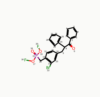 O=C(c1ccccc1)C(Cc1ccc(CP(=O)(OF)OF)c(Br)c1)c1ccccc1